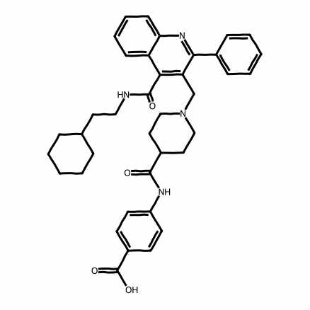 O=C(O)c1ccc(NC(=O)C2CCN(Cc3c(-c4ccccc4)nc4ccccc4c3C(=O)NCCC3CCCCC3)CC2)cc1